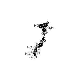 O=C1C=CC2C(=C1)Oc1cc(O)ccc1C2c1ccc(NC(=O)CSCCC(=O)NCc2ccc(C(=O)NC(COP(=O)(O)N[C@H](CCC(=O)O)C(=O)O)C(=O)O)cc2)cc1C(=O)O